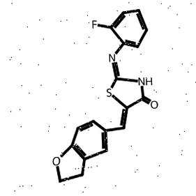 O=C1N/C(=N\c2ccccc2F)S/C1=C\c1ccc2c(c1)CCO2